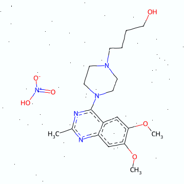 COc1cc2nc(C)nc(N3CCN(CCCCO)CC3)c2cc1OC.O=[N+]([O-])O